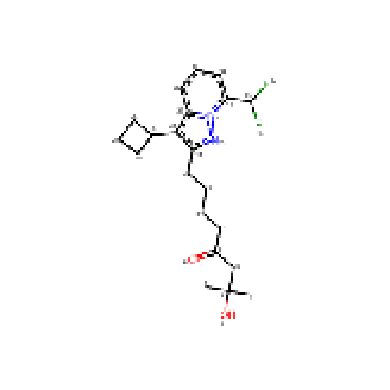 CC(C)(O)CC(=O)CCCCc1nn2c(C(F)F)cccc2c1C1CCC1